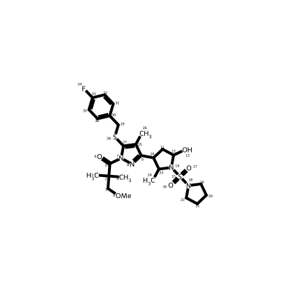 COCC(C)(C)C(=O)n1nc(C2CC(O)N(S(=O)(=O)N3CCCC3)C2C)c(C)c1SCc1ccc(F)cc1